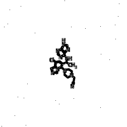 CC(Nc1ncnc2[nH]cnc12)c1cc(Cl)c2cncn2c1N1CCN(CC#N)CC1